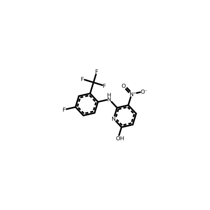 O=[N+]([O-])c1ccc(O)nc1Nc1ccc(F)cc1C(F)(F)F